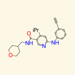 C#Cc1cccc(Nc2cc(C(C)C)c(C(=O)NCC3CCOCC3)cn2)c1